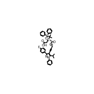 CC(C)c1c(C#CCO[PH](=O)C[C@H](CC(=O)O)O[Si](c2ccccc2)(c2ccccc2)C(C)(C)C)c(-c2ccc(F)cc2)nn1-c1ccccc1